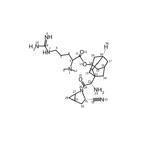 CN(C)C(CCCNC(=N)N)C(=O)OC12CC3C[C@H](C1)CC([C@H](N)C(=O)N1C4CC4C[C@H]1C#N)(C3)C2